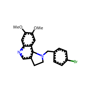 COc1cc2ncc3c(c2cc1OC)N(Cc1ccc(Br)cc1)CC3